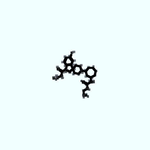 CCOC(=O)NC1CCCCC(N2CCC3(CC2)CN(C(=O)OC)c2ccc(F)cc23)C1